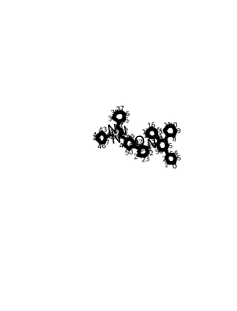 c1ccc(-c2cc(-c3ccccc3)c3c4ccccc4n(-c4cccc5c4oc4cc(-c6nc(-c7ccccc7)nc(-c7ccccc7)n6)ccc45)c3c2)cc1